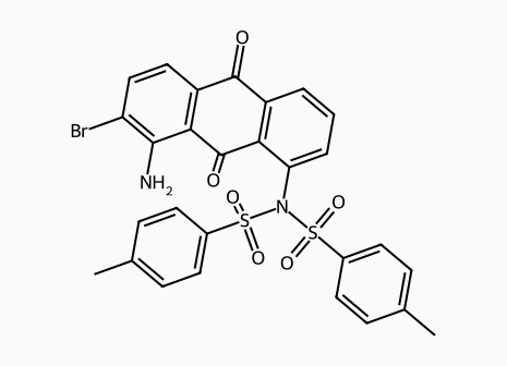 Cc1ccc(S(=O)(=O)N(c2cccc3c2C(=O)c2c(ccc(Br)c2N)C3=O)S(=O)(=O)c2ccc(C)cc2)cc1